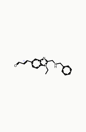 CCn1c(CNCc2ccccc2)nc2cc(/C=C/C=O)ccc21